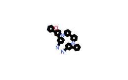 N#Cc1ccc2c(c1)c1ccccc1n2-c1cccc(-c2cccc(-n3c4ccc(C#N)cc4c4cc5c(cc43)oc3ccccc35)c2)c1